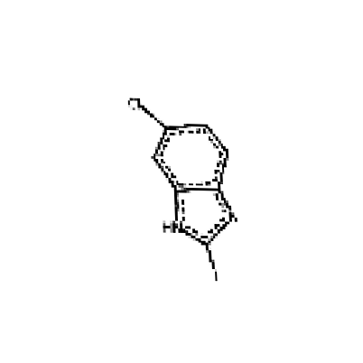 Clc1ccc2nc(I)[nH]c2c1